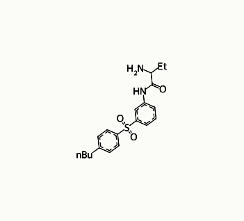 CCCCc1ccc(S(=O)(=O)c2cccc(NC(=O)C(N)CC)c2)cc1